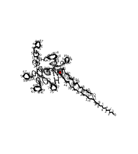 CCCCCCCCCCCCCCCCCCCCCCCCCC(=O)N[C@@H](CO[C@H]1O[C@H](COC(=O)NC2CCN(Cc3ccccc3)CC2)[C@H](OCc2ccccc2)[C@H](OCc2ccccc2)[C@H]1OCc1ccccc1)[C@H](OCc1ccccc1)[C@@H](CCCCCCCCCCCCCC)OCc1ccccc1